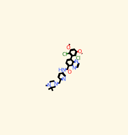 COc1cc(OC)c(Cl)c(-c2ccc(C(=O)Nc3ccc(CN4CCN(C)C(C)(C)C4)nc3)c3nccnc23)c1Cl